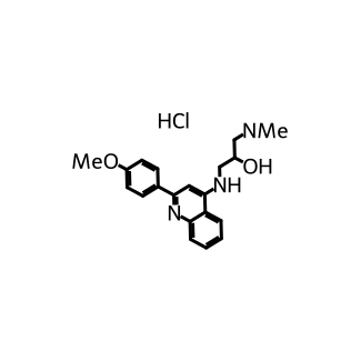 CNCC(O)CNc1cc(-c2ccc(OC)cc2)nc2ccccc12.Cl